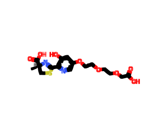 C[C@]1(C(=O)O)CSC(c2ncc(OCCOCCOCC(=O)O)cc2O)=N1